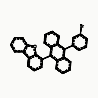 Brc1cccc(-c2c3ccccc3c(-c3cccc4c3oc3ccccc34)c3ccccc23)c1